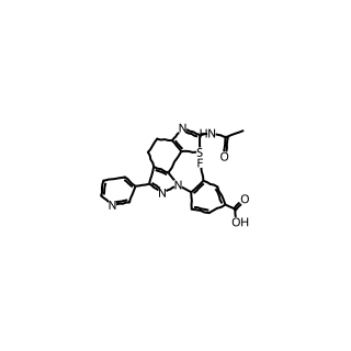 CC(=O)Nc1nc2c(s1)-c1c(c(-c3cccnc3)nn1-c1ccc(C(=O)O)cc1F)CC2